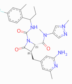 CCC(NC(=O)N1C(=O)[C@H](Cc2cc(C)nc(N)c2)[C@H]1C(=O)N(C)c1cnn(C)c1)c1ccc(F)cc1C